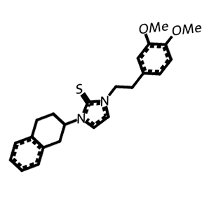 COc1ccc(CCn2ccn(C3CCc4ccccc4C3)c2=S)cc1OC